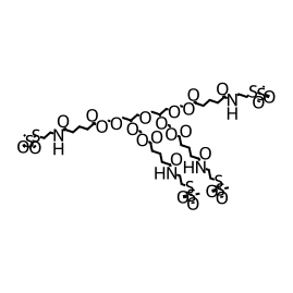 CS(=O)(=O)SCCNC(=O)CCCC(=O)OCOCC(COCC(COCOC(=O)CCCC(=O)NCCSS(C)(=O)=O)OCOC(=O)CCCC(=O)NCCSS(C)(=O)=O)OCOC(=O)CCCC(=O)NCCSS(C)(=O)=O